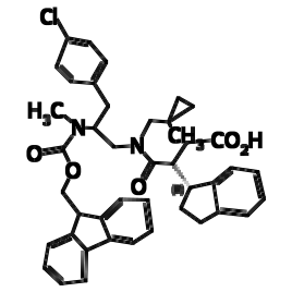 CN(C(=O)OCC1c2ccccc2-c2ccccc21)C(Cc1ccc(Cl)cc1)CN(CC1(C)CC1)C(=O)C(CC(=O)O)[C@H]1CCc2ccccc21